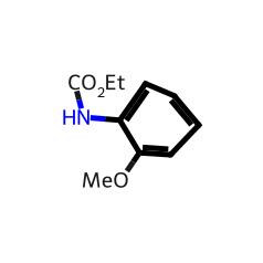 CCOC(=O)Nc1ccccc1OC